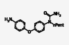 CCCCCN(C(N)=O)c1ccc(Oc2ccc(N)cc2)cc1